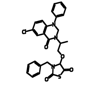 CC(COC1C(=O)SC(=O)N1Cc1ccccc1)N1CN(c2ccccc2)c2ccc(Cl)cc2C1=O